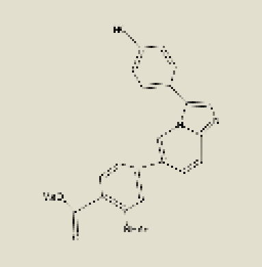 COC(=O)c1ccc(-c2ccc3ncc(-c4ccc(C#N)cc4)n3c2)cc1NC(C)=O